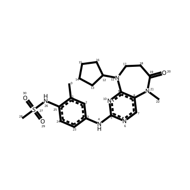 Cc1cc(Nc2ncc3c(n2)N(C2CCCC2)CCC(=O)N3C)ccc1NS(C)(=O)=O